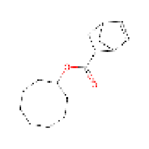 O=C(OC1CCCCCCC1)C1CC2C=CC1C2